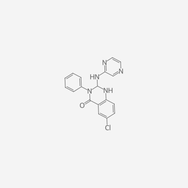 O=C1c2cc(Cl)ccc2NC(Nc2cnccn2)N1c1ccccc1